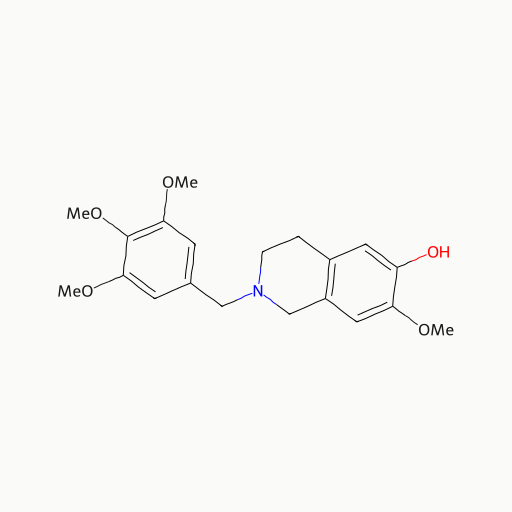 COc1cc2c(cc1O)CCN(Cc1cc(OC)c(OC)c(OC)c1)C2